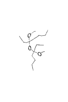 CCCCC(CC)(OC)OC(CC)(CCCC)OC